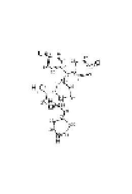 CC(C)[C@@H]1CN(C(c2ccc(Cl)cc2)c2ccc(Cl)cc2)CCN1C(=O)CC1CCNCC1